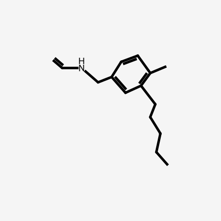 C=CNCc1ccc(C)c(CCCCC)c1